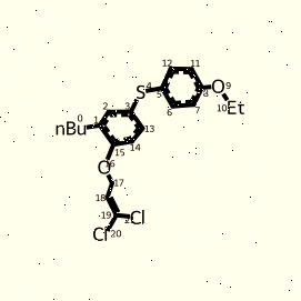 CCCCc1cc(Sc2ccc(OCC)cc2)ccc1OCC=C(Cl)Cl